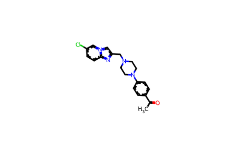 CC(=O)c1ccc(N2CCN(Cc3cn4cc(Cl)ccc4n3)CC2)cc1